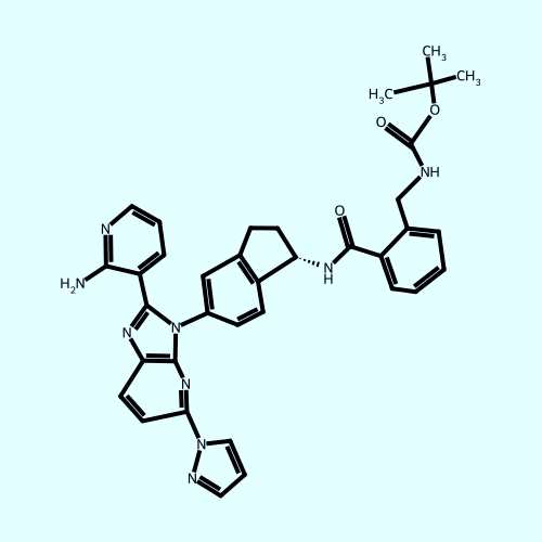 CC(C)(C)OC(=O)NCc1ccccc1C(=O)N[C@H]1CCc2cc(-n3c(-c4cccnc4N)nc4ccc(-n5cccn5)nc43)ccc21